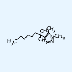 CCCCCCC(C)(C)c1cnn(C)c1C